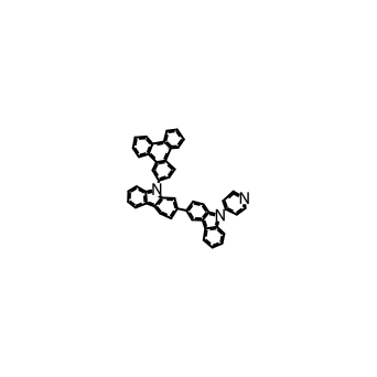 c1ccc2c(c1)c1ccccc1c1cc(-n3c4ccccc4c4ccc(-c5ccc6c(c5)c5ccccc5n6-c5ccncc5)cc43)ccc21